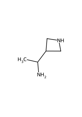 CC(N)C1CNC1